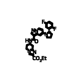 CCOC(=O)c1cn2c(n1)CC(NC(=O)c1cnn3ccc(N4CCC[C@@H]4c4cc(F)ccc4F)cc13)CC2